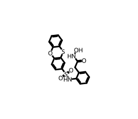 O=C(Cc1ccccc1NS(=O)(=O)c1ccc2c(c1)Sc1ccccc1O2)NO